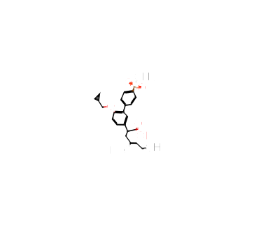 CCCC(C)CC(C(=O)O)c1ccc(OCC2CC2)c(-c2ccc(S(C)(=O)=O)cc2)c1